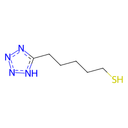 SCCCCCc1nnn[nH]1